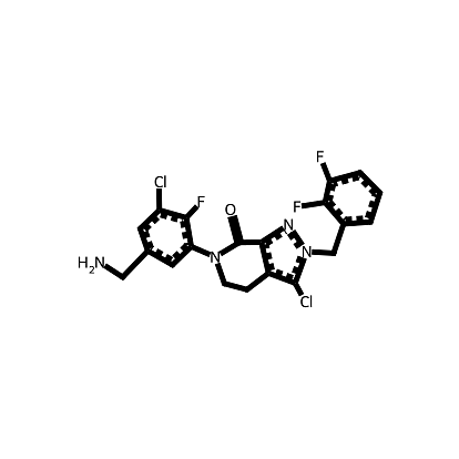 NCc1cc(Cl)c(F)c(N2CCc3c(nn(Cc4cccc(F)c4F)c3Cl)C2=O)c1